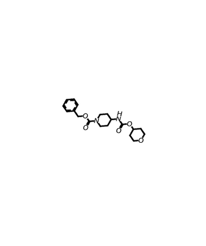 O=C(NC1CCN(C(=O)OCc2ccccc2)CC1)OC1CCOCC1